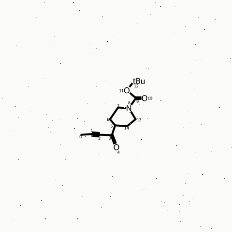 CC#CC(=O)C1CCN(C(=O)OC(C)(C)C)CC1